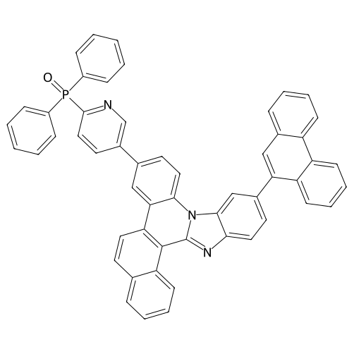 O=P(c1ccccc1)(c1ccccc1)c1ccc(-c2ccc3c(c2)c2ccc4ccccc4c2c2nc4ccc(-c5cc6ccccc6c6ccccc56)cc4n32)cn1